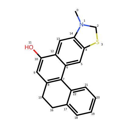 CN1CSc2cc3c4c(cc(O)c3cc21)CCc1ccccc1-4